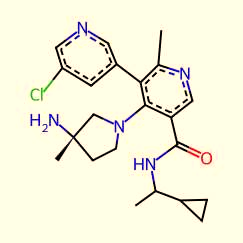 Cc1ncc(C(=O)NC(C)C2CC2)c(N2CC[C@](C)(N)C2)c1-c1cncc(Cl)c1